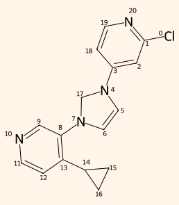 Clc1cc(N2C=CN(c3cnccc3C3CC3)C2)ccn1